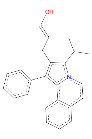 CC(C)c1c(CC=CO)c(-c2ccccc2)c2c3ccccc3ccn12